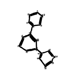 c1cncc(-c2cccc(-c3cccnc3)c2)c1